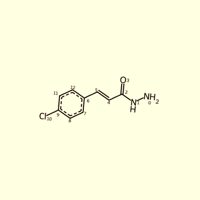 NNC(=O)C=Cc1ccc(Cl)cc1